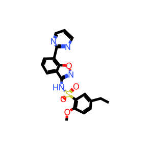 CCc1ccc(OC)c(S(=O)(=O)Nc2noc3c(-c4ncccn4)cccc23)c1